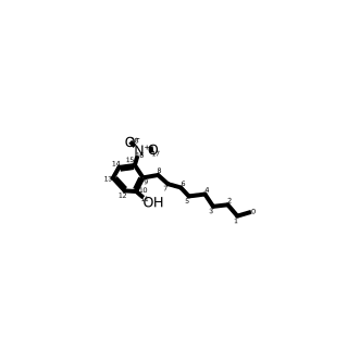 CCCCCCCCCc1c(O)cccc1[N+](=O)[O-]